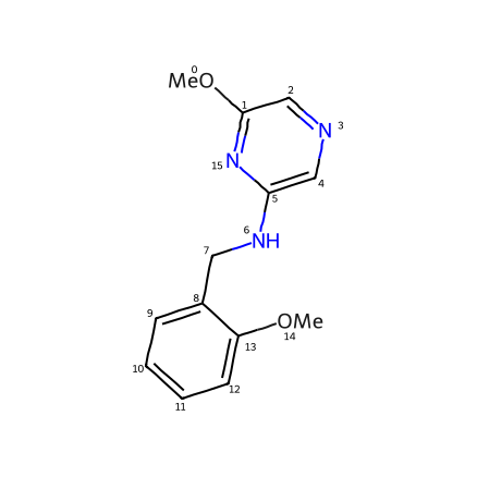 COc1cncc(NCc2ccccc2OC)n1